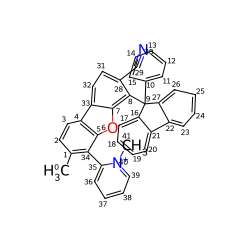 Cc1ccc2c(oc3c(C4(c5ccccc5)c5ccccc5-c5ccccc54)c(C#N)ccc32)c1-c1cccc[n+]1C